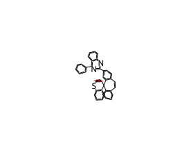 C1=Cc2ccc(-c3nc(-c4ccccc4)c4ccccc4n3)cc2C2(c3ccccc31)c1ccccc1Sc1ccccc12